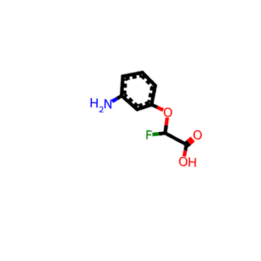 Nc1cccc(OC(F)C(=O)O)c1